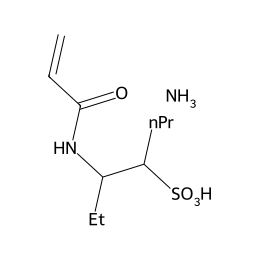 C=CC(=O)NC(CC)C(CCC)S(=O)(=O)O.N